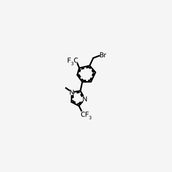 Cn1cc(C(F)(F)F)nc1-c1ccc(CBr)c(C(F)(F)F)c1